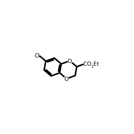 CCOC(=O)C1COc2ccc(Cl)cc2O1